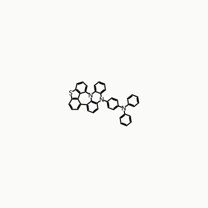 c1ccc(N(c2ccccc2)c2ccc(N3c4ccccc4-n4c5cccc6sc7cccc(c8cccc3c84)c7c65)cc2)cc1